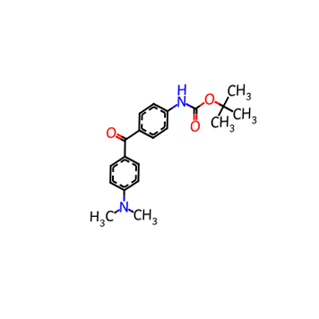 CN(C)c1ccc(C(=O)c2ccc(NC(=O)OC(C)(C)C)cc2)cc1